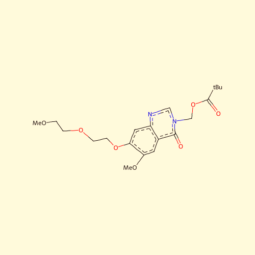 COCCOCCOc1cc2ncn(COC(=O)C(C)(C)C)c(=O)c2cc1OC